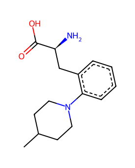 CC1CCN(c2ccccc2C[C@H](N)C(=O)O)CC1